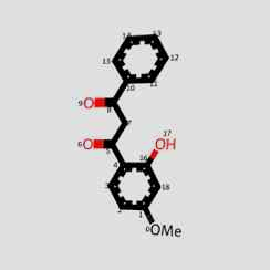 COc1ccc(C(=O)CC(=O)c2ccccc2)c(O)c1